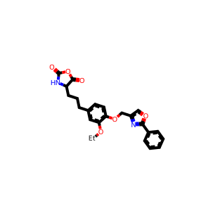 CCOc1cc(CCCC2NC(=O)OC2=O)ccc1OCc1coc(-c2ccccc2)n1